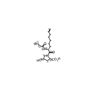 C=CCCCCC[C@H](NC(=O)OC(C)(C)C)C(=O)N1C[C@H](O)CC1C(=O)O